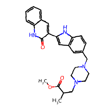 COC(=O)C(C)CN1CCN(Cc2ccc3[nH]c(-c4cc5ccccc5[nH]c4=O)cc3c2)CC1